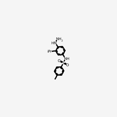 Cc1ccc(S(=O)(=O)Nc2ccc(NN)c(C(C)C)c2)cc1